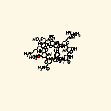 CC(C)C[C@H](NC(=O)[C@H](Cc1ccc(O)cc1)NC(=O)[C@H](CCCNC(=N)N)NC(=O)[C@H](CO)NC(=O)[C@H](C)NC(=O)[C@H](C)N)C(=O)N[C@@H](CC(=O)O)C(=O)N[C@@H](CCCCN)C(=O)N[C@H](C(=O)N[C@@H](CCC(=O)O)C(=O)N[C@@H](CCC(N)=O)C(=O)O)[C@@H](C)O